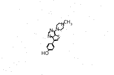 CN1CCN(c2ncnc3c(-c4ccc(O)cc4)csc23)CC1